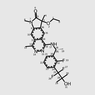 CCOC1(C)C(=O)N(C)c2cc3c(C)nnc(N[C@H](C)c4cccc(C(F)(F)C(C)(C)O)c4F)c3cc21